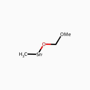 COC[O][Sn][CH3]